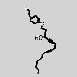 CC/C=C\CCC#C/C=C\C#C[C@@H](O)CCOc1ccc(CC=O)cc1